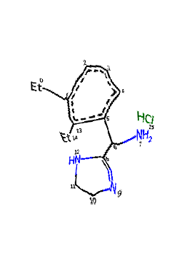 CCc1cccc(C(N)C2=NCCN2)c1CC.Cl